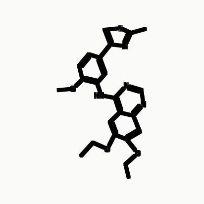 CCOc1cc2ncnc(Nc3cc(-c4csc(C)n4)ccc3OC)c2cc1OCC